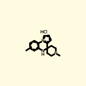 Cc1ccc2c(c1)NC1(CCN(C)CC1)c1cccn1-2.Cl